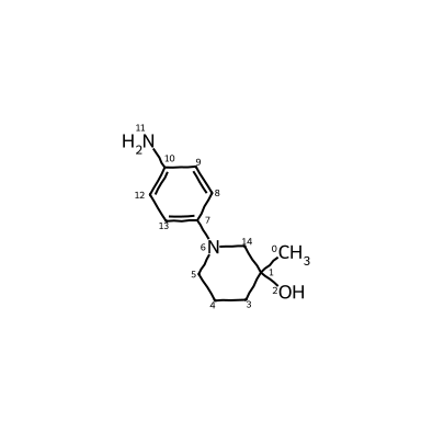 CC1(O)CCCN(c2ccc(N)cc2)C1